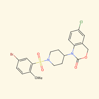 COc1ccc(Br)cc1S(=O)(=O)N1CCC(N2C(=O)OCc3cc(Cl)ccc32)CC1